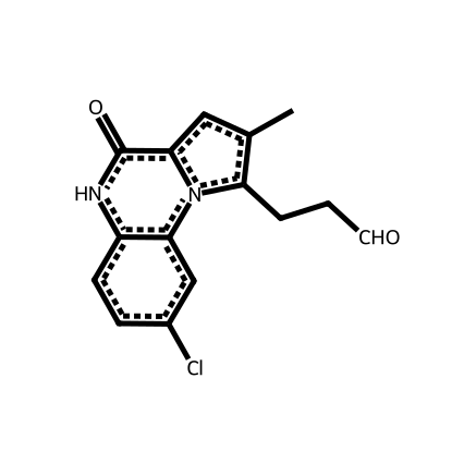 Cc1cc2c(=O)[nH]c3ccc(Cl)cc3n2c1CCC=O